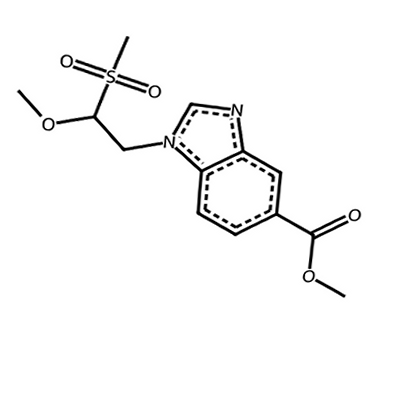 COC(=O)c1ccc2c(c1)ncn2CC(OC)S(C)(=O)=O